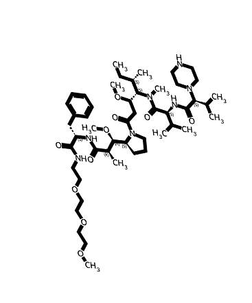 CC[C@H](C)[C@@H](C(CC(=O)N1CCC[C@H]1[C@H](OC)[C@@H](C)C(=O)N[C@@H](Cc1ccccc1)C(=O)NCCOCCOCCOC)OC)N(C)C(=O)[C@@H](NC(=O)[C@H](C(C)C)N1CCNCC1)C(C)C